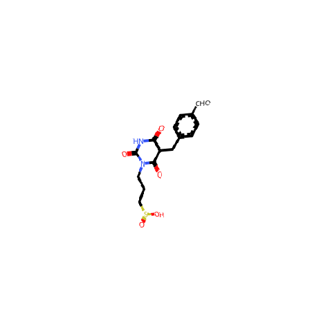 O=Cc1ccc(CC2C(=O)NC(=O)N(CCCS(=O)O)C2=O)cc1